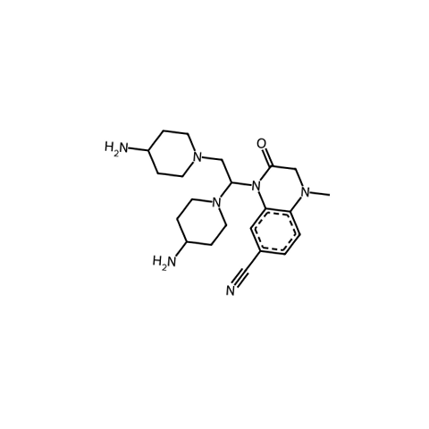 CN1CC(=O)N(C(CN2CCC(N)CC2)N2CCC(N)CC2)c2cc(C#N)ccc21